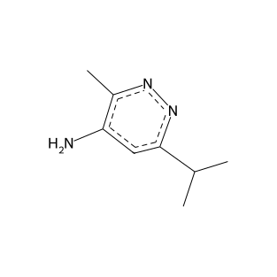 Cc1nnc(C(C)C)cc1N